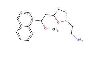 COC(CC1CCC(CCN)O1)c1cccc2ccccc12